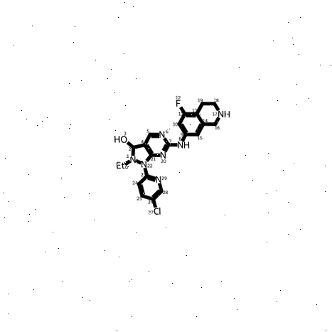 CCN1C(O)c2cnc(Nc3cc(F)c4c(c3)CNCC4)nc2N1c1ccc(Cl)cn1